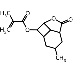 C=C(C)C(=O)OC1C2CC(C)CC3C(=O)OC1C32